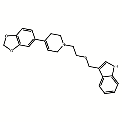 C1=C(c2ccc3c(c2)OCO3)CCN(CCSCc2c[nH]c3ccccc23)C1